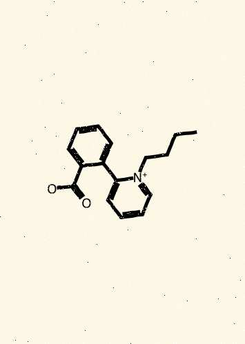 CCCC[n+]1ccccc1-c1ccccc1C(=O)[O-]